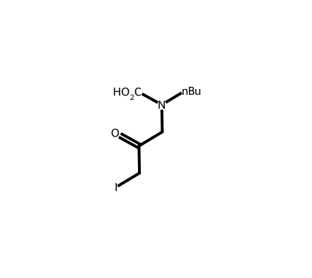 CCCCN(CC(=O)CI)C(=O)O